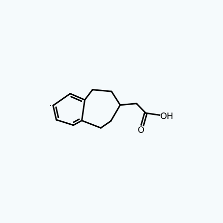 O=C(O)CC1CCc2c[c]ccc2CC1